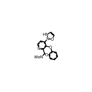 CNC(=O)c1nccc(N2NC=CO2)c1Oc1ccccc1